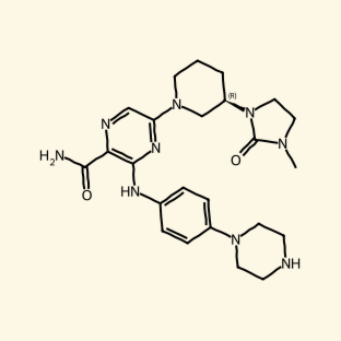 CN1CCN([C@@H]2CCCN(c3cnc(C(N)=O)c(Nc4ccc(N5CCNCC5)cc4)n3)C2)C1=O